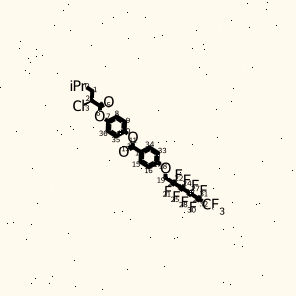 CC(C)C[C@H](Cl)C(=O)Oc1ccc(OC(=O)c2ccc(OCC(F)(F)C(F)(F)C(F)(F)C(F)(F)C(F)(F)F)cc2)cc1